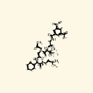 CC(=O)CN(CC(=O)NC(C(=O)NCCC(C)C)C1CCCCC1)C(=O)C(NC(=O)CNC(=O)c1cc(C(=O)O)cc([N+](=O)[O-])c1)C(C)(C)C